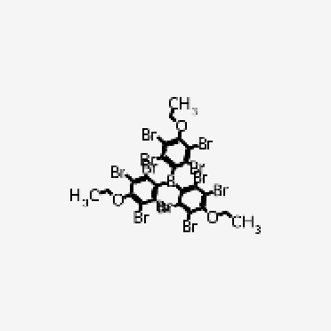 CCOc1c(Br)c(Br)c(B(c2c(Br)c(Br)c(OCC)c(Br)c2Br)c2c(Br)c(Br)c(OCC)c(Br)c2Br)c(Br)c1Br